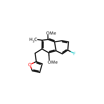 COc1c(C)c(Cc2ccco2)c(OC)c2cc(F)ccc12